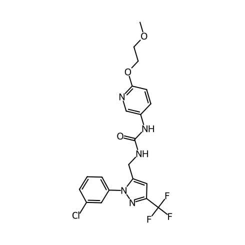 COCCOc1ccc(NC(=O)NCc2cc(C(F)(F)F)nn2-c2cccc(Cl)c2)cn1